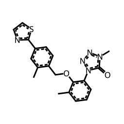 Cc1cc(-c2nccs2)ccc1COc1c(C)cccc1-n1nnn(C)c1=O